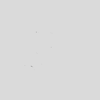 CCCCC(NC(=O)c1ccccc1)C(O)CN(C)C(=O)N1CCC[C@H]1C(=O)O